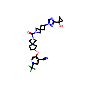 N#Cc1cc(C(F)(F)F)ncc1O[C@H]1CCC2(C1)CN(C(=O)N1CC3(CC(n4cnc(C5(O)CC5)n4)C3)C1)C2